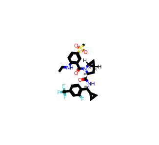 CCNc1ccc(S(C)(=O)=O)cc1C(=O)N1[C@@H](C(=O)N[C@@H](c2ccc(C(F)(F)F)cc2F)C2CC2)C[C@H]2C[C@H]21